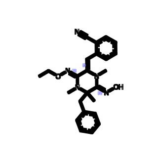 CCO/N=C1/C(=C/c2ccccc2C#N)N(C)/C(=N\O)C(C)(Cc2ccccc2)N1C